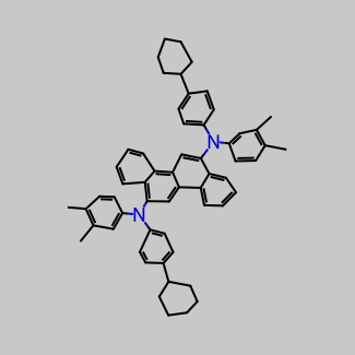 Cc1ccc(N(c2ccc(C3CCCCC3)cc2)c2cc3c4ccccc4c(N(c4ccc(C5CCCCC5)cc4)c4ccc(C)c(C)c4)cc3c3ccccc23)cc1C